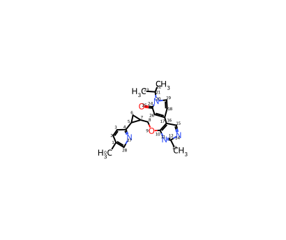 Cc1ccc(C2CC2COc2nc(C)ncc2-c2ccn(C(C)C)c(=O)c2)nc1